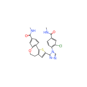 CNC(=O)c1ccc(-n2cnnc2-c2cc3c(s2)-c2ccc(C(=O)NC)cc2OCC3)c(Cl)c1